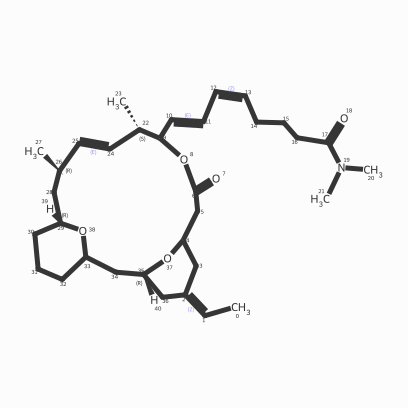 C/C=C1\CC2CC(=O)OC(/C=C/C=C\CCCC(=O)N(C)C)[C@@H](C)/C=C/[C@H](C)C[C@H]3CCCC(C[C@@H](C1)O2)O3